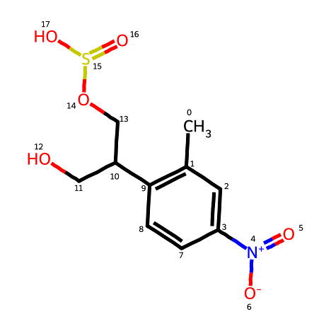 Cc1cc([N+](=O)[O-])ccc1C(CO)COS(=O)O